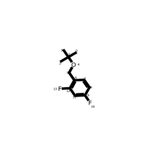 CC(C)(C)OCc1ccc(F)cc1F